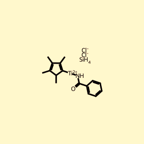 CC1=C(C)C(C)[C]([Ti+2][NH]C(=O)c2ccccc2)=C1C.[Cl-].[Cl-].[SiH4]